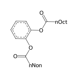 CCCCCCCCCC(=O)Oc1ccccc1OC(=O)CCCCCCCC